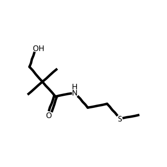 CSCCNC(=O)C(C)(C)CO